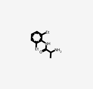 CCc1cccc(CC)c1NC(=O)C(C)N